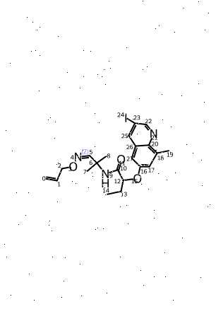 C=CCO/N=C\C(C)(C)NC(=O)C(CC)Oc1cc(C)c2ncc(I)cc2c1